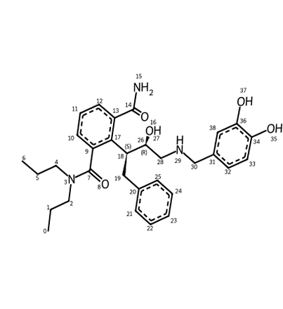 CCCN(CCC)C(=O)c1cccc(C(N)=O)c1[C@H](Cc1ccccc1)[C@@H](O)CNCc1ccc(O)c(O)c1